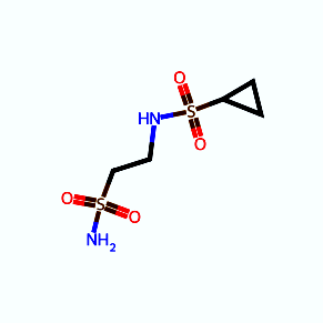 NS(=O)(=O)CCNS(=O)(=O)C1CC1